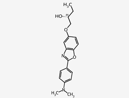 CC[C@@H](O)COc1ccc2oc(-c3ccc(N(C)C)cc3)nc2c1